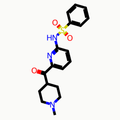 CN1CCC(C(=O)c2cccc(NS(=O)(=O)c3ccccc3)n2)CC1